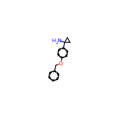 NC1(c2ccc(OCc3ccccc3)cc2)CC1